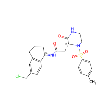 Cc1ccc(S(=O)(=O)N2CCNC(=O)[C@H]2CC(=O)N[C@@H]2CCCc3cc(CCl)ccc32)cc1